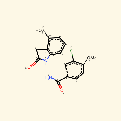 COc1ccc(C(N)=O)cc1Cl.O=C1Cc2c(cccc2C(=O)O)N1